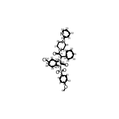 COc1ccc(S(=O)(=O)n2c(=O)n(C(C(=O)N3CCN(c4ccccn4)CC3)c3ccccc3)c3cc(Cl)ccc32)cc1